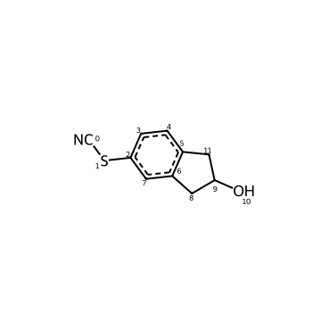 N#CSc1ccc2c(c1)CC(O)C2